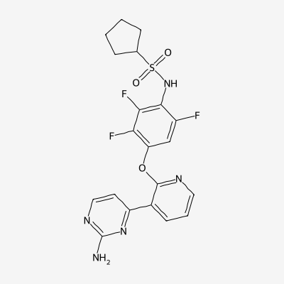 Nc1nccc(-c2cccnc2Oc2cc(F)c(NS(=O)(=O)C3CCCC3)c(F)c2F)n1